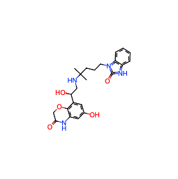 CC(C)(CCCn1c(=O)[nH]c2ccccc21)NC[C@H](O)c1cc(O)cc2c1OCC(=O)N2